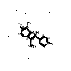 Cc1ccc(-c2[nH]c3c(F)c(F)ccc3c2C=O)cc1